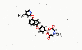 Cc1ccnc(Oc2cccc3c2CC[C@H]3Oc2ccc(B3OC(=O)CN(C)CC(=O)O3)cc2)c1